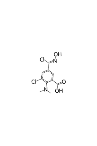 CN(C)c1c(Cl)cc(C(Cl)=NO)cc1C(=O)O